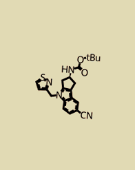 CC(C)(C)OC(=O)N[C@H]1Cc2c(n(Cc3ccsn3)c3ccc(C#N)cc23)C1